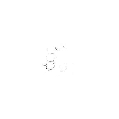 C[C@@H](CC(=O)OC(C)(C)C)Cn1c(=O)c([C@@H]2O[C@H](CO)[C@H](O)C2O)cn(C)c1=O